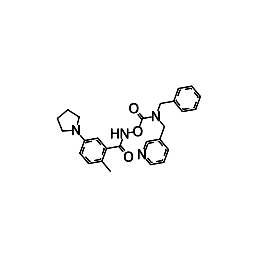 Cc1ccc(N2CCCC2)cc1C(=O)NOC(=O)N(Cc1ccccc1)Cc1cccnc1